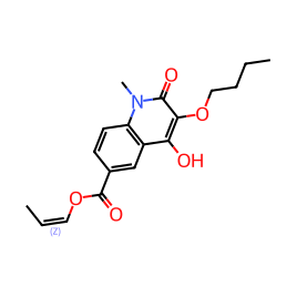 C/C=C\OC(=O)c1ccc2c(c1)c(O)c(OCCCC)c(=O)n2C